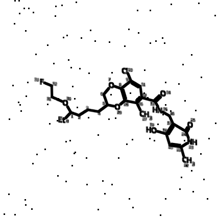 CCC(CCCC1COc2c(Cl)cc(C(=O)NCc3c(O)cc(C)[nH]c3=O)c(C)c2O1)OCCF